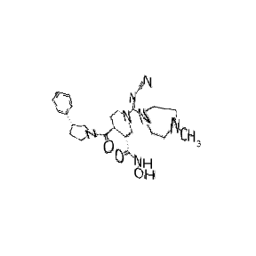 CN1CCN(/C(=N\C#N)N2CC[C@H](C(=O)N3CC[C@H](c4ccccc4)C3)[C@@H](C(=O)NO)C2)CC1